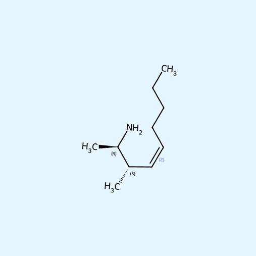 CCCC/C=C\[C@H](C)[C@@H](C)N